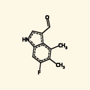 Cc1c(F)cc2[nH]cc(C=O)c2c1C